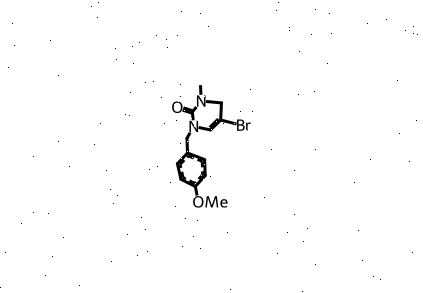 COc1ccc(CN2C=C(Br)CN(C)C2=O)cc1